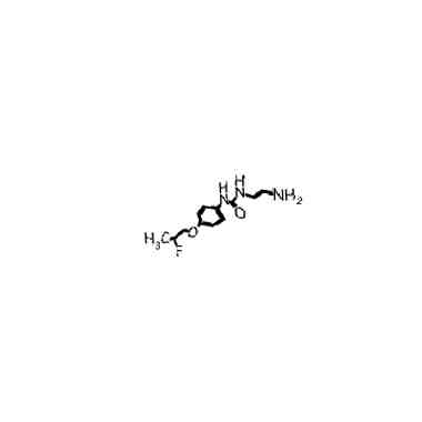 CC(F)COc1ccc(NC(=O)NCCN)cc1